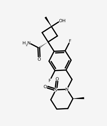 C[C@H]1CCCS(=O)(=O)N1Cc1cc(F)c([C@]2(C(N)=O)C[C@@](C)(O)C2)cc1F